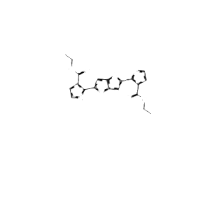 CCOC(=O)c1ccsc1-c1cc2sc(-c3sccc3C(=O)OCC)cc2s1